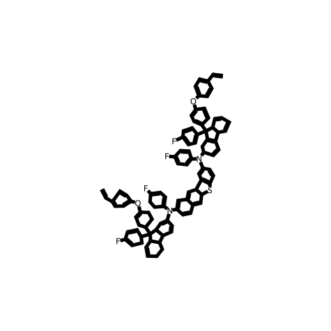 C=Cc1ccc(OC2=CCC(C3(C4C=CC(F)=CC4)C4C=C(N(C5=CC=C(F)CC5)c5ccc6c(c5)=CC5c7cc(N(c8ccc(F)cc8)C8C=CC9=C(C8)C(c8ccc(F)cc8)(c8ccc(Oc%10ccc(C=C)cc%10)cc8)C8C=CC=CC98)ccc7SC5C=6)C=CC4C4CCC=CC43)CC2)cc1